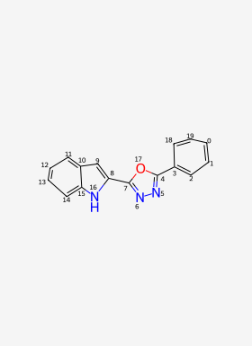 c1ccc(-c2nnc(-c3cc4ccccc4[nH]3)o2)cc1